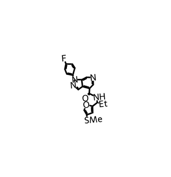 CC[C@H](NC(=O)c1cncc2c1cnn2-c1ccc(F)cc1)c1cc(SC)co1